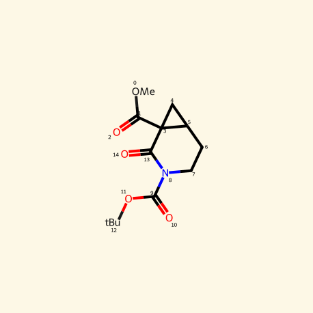 COC(=O)C12CC1CCN(C(=O)OC(C)(C)C)C2=O